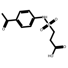 CC(=O)c1ccc(NS(=O)(=O)CCC(=O)O)cc1